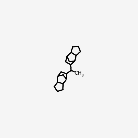 C[C](C1CC2CC1C1CCCC21)C1CC2CC1C1CCCC21